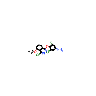 COC1CCCc2c(Oc3c(Cl)cc(N)cc3Cl)nnc(Cl)c21